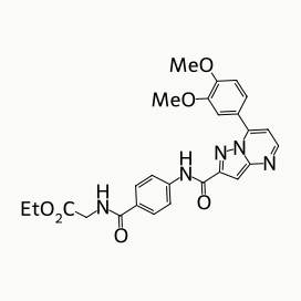 CCOC(=O)CNC(=O)c1ccc(NC(=O)c2cc3nccc(-c4ccc(OC)c(OC)c4)n3n2)cc1